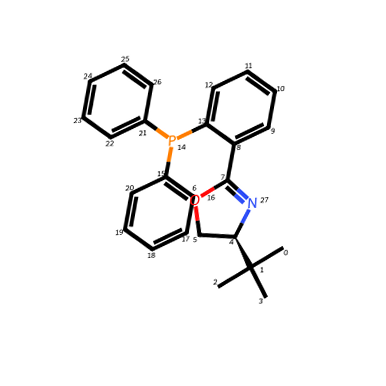 CC(C)(C)[C@H]1COC(c2ccccc2P(c2ccccc2)c2ccccc2)=N1